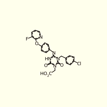 O=C(O)Cn1c(=O)[nH]/c(=N\c2ccc(Oc3ncccc3F)cc2)n(Cc2ccc(Cl)cc2)c1=O